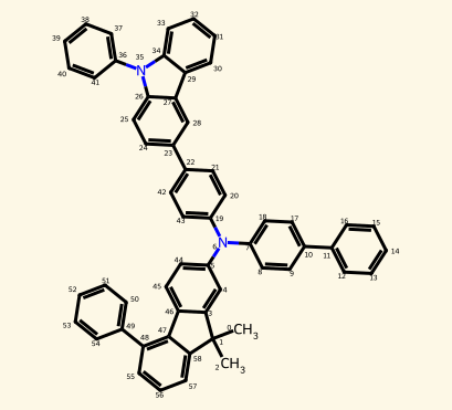 CC1(C)c2cc(N(c3ccc(-c4ccccc4)cc3)c3ccc(-c4ccc5c(c4)c4ccccc4n5-c4ccccc4)cc3)ccc2-c2c(-c3ccccc3)cccc21